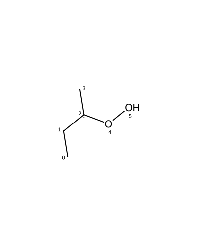 CC[C](C)OO